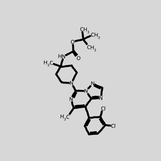 Cc1nc(N2CCC(C)(NC(=O)OC(C)(C)C)CC2)n2ncnc2c1-c1cccc(Cl)c1Cl